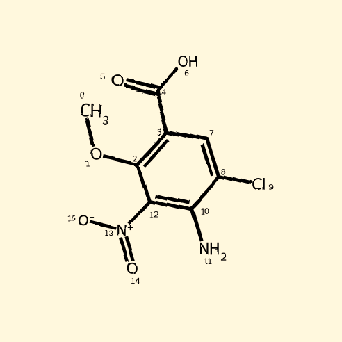 COc1c(C(=O)O)cc(Cl)c(N)c1[N+](=O)[O-]